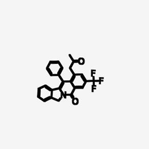 CC(=O)Cc1cc(C(F)(F)F)cc2c(=O)n3c(c(-c4ccccc4)c12)-c1ccccc1C3